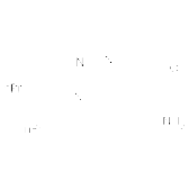 CCCC(CCC)n1cc(C(N)=O)nn1